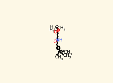 CCC[CH2][Sn]([CH2]CCC)([CH2]CCC)[c]1ccc(CCC(=O)NCCCCC(=O)OC(C)(C)C)cc1